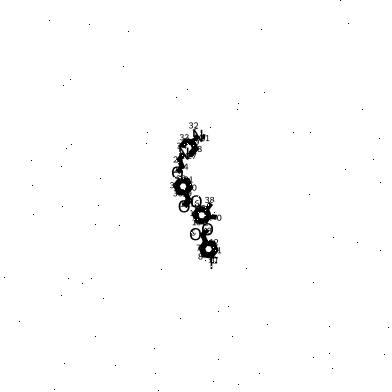 Cc1c(OC(=O)c2ccc(F)cc2)ccc(OC(=O)c2ccc(OCC[n+]3ccc(N(C)C)cc3)cc2)c1C